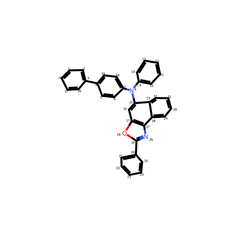 c1ccc(-c2ccc(N(c3ccccc3)c3cc4oc(-c5ccccc5)nc4c4ccccc34)cc2)cc1